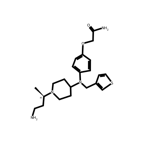 C[C@H](CCN)N1CCC(N(Cc2ccsc2)c2ccc(OCC(N)=O)cc2)CC1